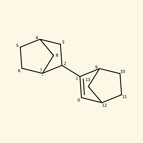 C1=C(C2CC3CC[C]2C3)C2CCC1C2